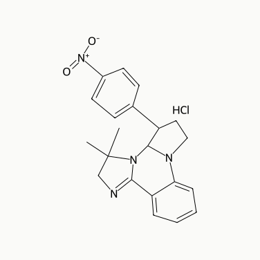 CC1(C)CN=C2c3ccccc3N3CCC(c4ccc([N+](=O)[O-])cc4)C3N21.Cl